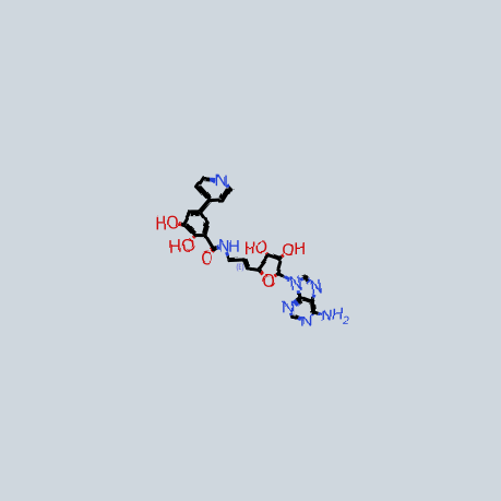 Nc1ncnc2c1ncn2C1OC(/C=C/CNC(=O)c2cc(-c3ccncc3)cc(O)c2O)C(O)C1O